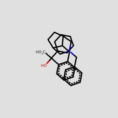 O=C(O)C(O)(c1ccccc1CC1C2CCC1CN(Cc1ccccc1)C2)C1CCCCC1